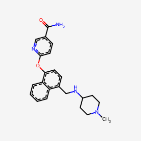 CN1CCC(NCc2ccc(Oc3ccc(C(N)=O)cn3)c3ccccc23)CC1